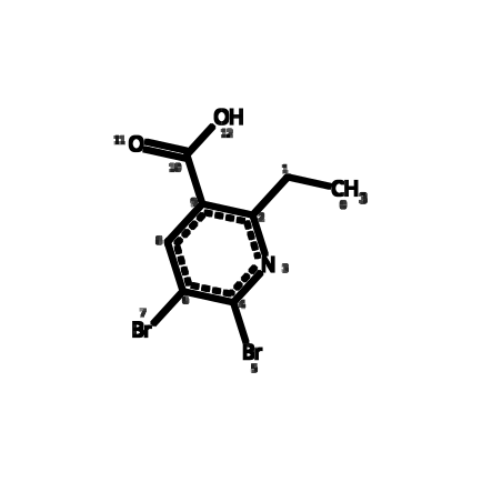 CCc1nc(Br)c(Br)cc1C(=O)O